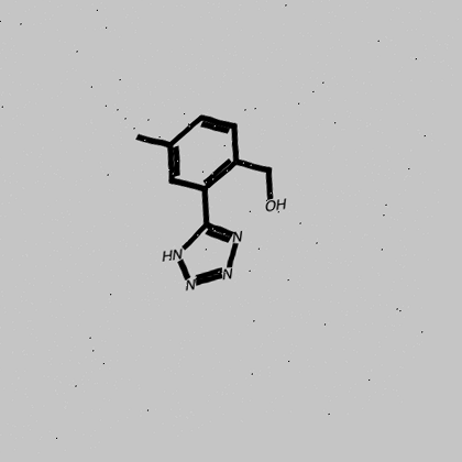 Cc1ccc(CO)c(-c2nnn[nH]2)c1